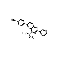 CN(C)c1nc(-c2cccnc2)nc2ccc(-c3ccc(C#N)cc3)cc12